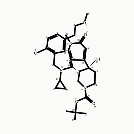 COCCc1ccc(Cl)c(CN(C(=O)[C@H]2CN(C(=O)OC(C)(C)C)CC[C@]2(O)c2ccn(C)c(=O)c2)C2CC2)c1